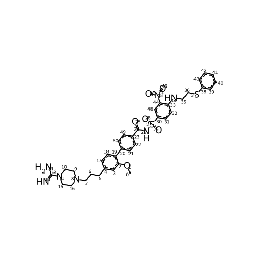 COc1cc(CCCN2CCN(C(=N)N)CC2)ccc1-c1ccc(C(=O)NS(=O)(=O)c2ccc(NCCSc3ccccc3)c([N+](=O)[O-])c2)cc1